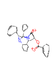 O=C(OC1C(=O)N([C@@]2(c3ccccc3)N[C@H]2c2ccccc2)C1c1ccccc1)c1ccccc1